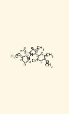 COc1cc(Cl)c(-c2nc(C3(c4ncccc4OC)CC3)sc2C)cc1C